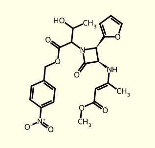 COC(=O)C=C(C)N[C@H]1C(=O)N(C(C(=O)OCc2ccc([N+](=O)[O-])cc2)C(C)O)[C@H]1c1ccco1